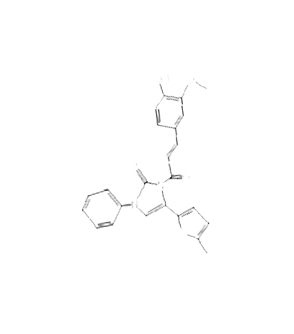 COc1cc(C=CC(=O)n2c(-c3ccc(C)s3)cn(-c3ccccc3)c2=O)ccc1O